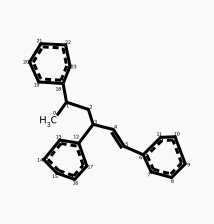 CC(CC(C=Cc1ccccc1)c1ccccc1)c1ccccc1